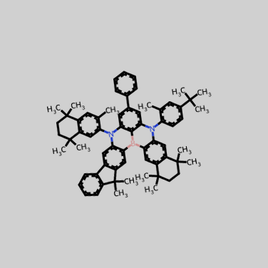 Cc1cc(C(C)(C)C)ccc1N1c2cc3c(cc2B2c4cc5c(cc4N(c4cc6c(cc4C)C(C)(C)CCC6(C)C)c4cc(-c6ccccc6)cc1c42)-c1ccccc1C5(C)C)C(C)(C)CCC3(C)C